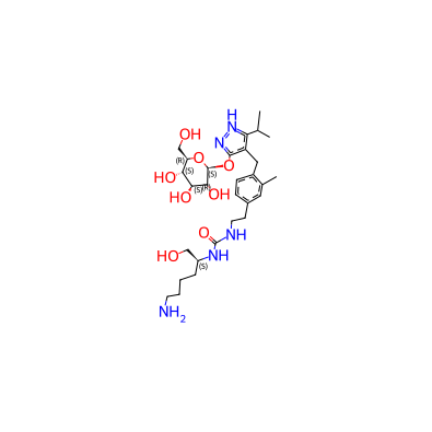 Cc1cc(CCNC(=O)N[C@H](CO)CCCCN)ccc1Cc1c(O[C@@H]2O[C@H](CO)[C@@H](O)[C@H](O)[C@H]2O)n[nH]c1C(C)C